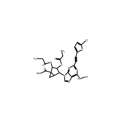 CCCNc1nc(C#Cc2ccc(Cl)s2)nc2c1ncn2C1C(OC(=O)CN)C(OC(=O)CN)C2(C(=O)NC)CC12